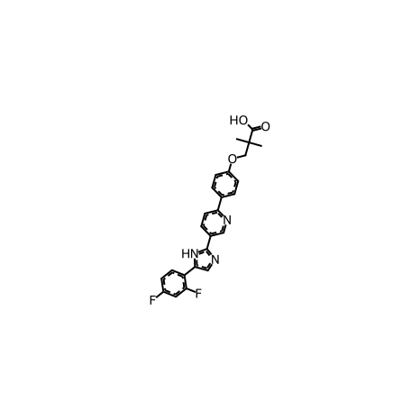 CC(C)(COc1ccc(-c2ccc(-c3ncc(-c4ccc(F)cc4F)[nH]3)cn2)cc1)C(=O)O